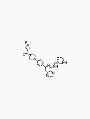 O=C(C1CC(F)(F)C1)N1CCN(c2ccc(-c3cc4nccnc4c(NC[C@@H]4CNCCO4)n3)cc2)CC1